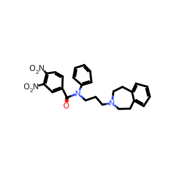 O=C(c1ccc([N+](=O)[O-])c([N+](=O)[O-])c1)N(CCCN1CCc2ccccc2CC1)c1ccccc1